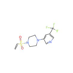 C=CS(=O)(=O)N1CCN(c2cncc(C(F)(F)F)c2)CC1